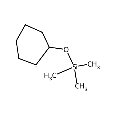 C[Si](C)(C)OC1[CH]CCCC1